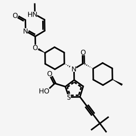 CN/C=C\C(=N/C=O)O[C@H]1CC[C@H](N(c2cc(C#CC(C)(C)C)sc2C(=O)O)C(=O)[C@H]2CC[C@H](C)CC2)CC1